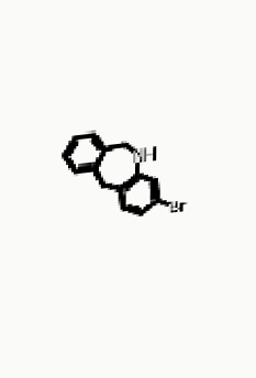 Brc1ccc2c(c1)NCc1ccccc1C2